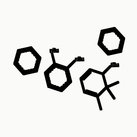 CC1=CC=CC(C(C)(C)C)C1(C)C.CCCCc1ccccc1CCCC.c1ccccc1.c1ccccc1